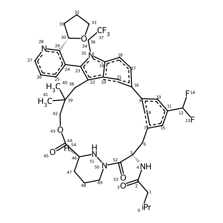 CC(C)CC(=O)N[C@H]1Cc2cc(cc(C(F)F)c2)-c2ccc3c(c2)c(c(-c2cccnc2[C@@H]2CCCO2)n3CC(F)(F)F)CC(C)(C)COC(=O)[C@@H]2CCCN(N2)C1=O